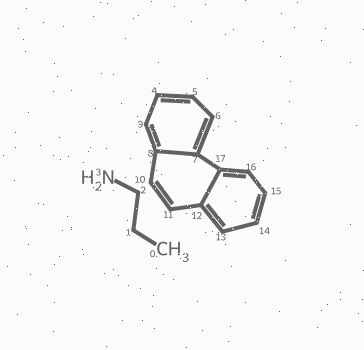 CCCN.c1ccc2c(c1)ccc1ccccc12